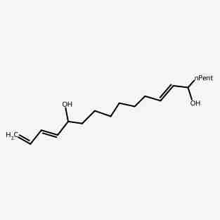 C=CC=CC(O)CCCCCCC=CC(O)CCCCC